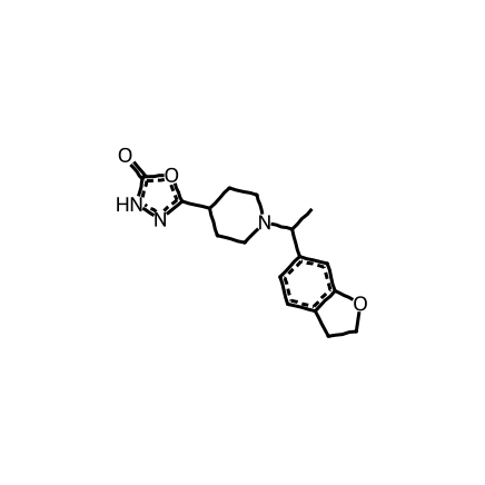 CC(c1ccc2c(c1)OCC2)N1CCC(c2n[nH]c(=O)o2)CC1